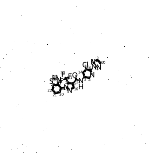 O=C(Nc1cnc(-n2nccn2)c(Cl)c1)c1cnn(-c2cccc3snnc23)c1C(F)(F)F